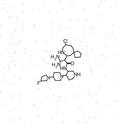 NC(N)C(C(=O)NC1CNCCC1N1CCC(N2CC[C@@H](F)C2)CC1)C1CC2(CCCC2)CCC(Cl)CN1